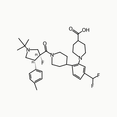 Cc1ccc([C@@H]2CN(C(C)(C)C)C[C@@]2(F)C(=O)N2CCC(c3ccc(C(F)F)cc3N3CCC(C(=O)O)CC3)CC2)cc1